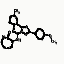 COc1ccc(-c2nc3c4cc(C)ccc4nc(Nc4ccccnc4=O)n3n2)cc1